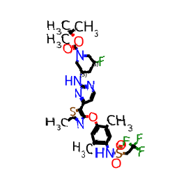 Cc1nc(Oc2cc(C)c(NS(=O)(=O)CC(F)(F)F)cc2C)c(-c2ccnc(N[C@H]3C[C@H](F)CN(C(=O)OC(C)(C)C)C3)n2)s1